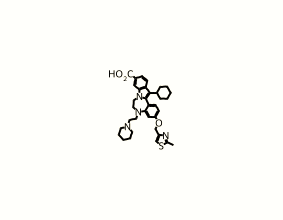 Cc1nc(COc2ccc3c(c2)N(CCN2CCCCC2)CCn2c-3c(C3CCCCC3)c3ccc(C(=O)O)cc32)cs1